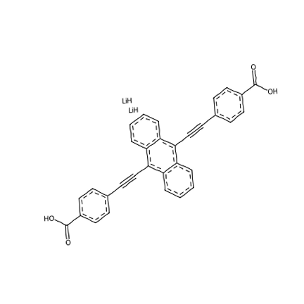 O=C(O)c1ccc(C#Cc2c3ccccc3c(C#Cc3ccc(C(=O)O)cc3)c3ccccc23)cc1.[LiH].[LiH]